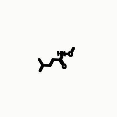 CONC(=O)CCC(C)C